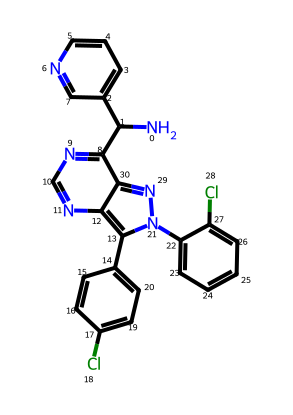 NC(c1cccnc1)c1ncnc2c(-c3ccc(Cl)cc3)n(-c3ccccc3Cl)nc12